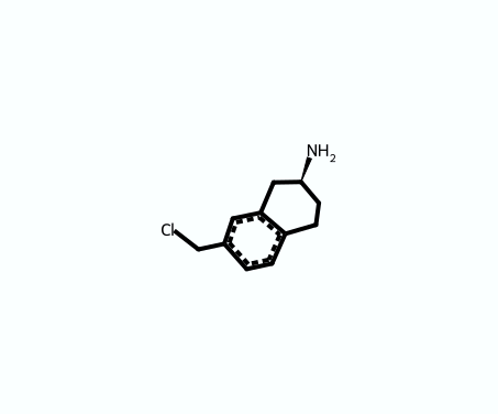 N[C@H]1CCc2ccc(CCl)cc2C1